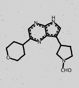 O=CN1CCC(c2c[nH]c3ncc(C4CCOCC4)nc23)C1